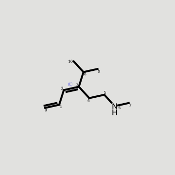 C=C/C=C(\CCNC)C(C)C